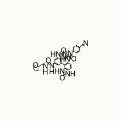 N#Cc1ccc(NC(=O)Nc2ccc3[nH]c(=O)[nH]c3c2-c2cc(NC(=O)NCC3CCCO3)cc3[nH]c(=O)[nH]c23)cc1